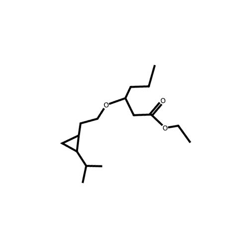 CCCC(CC(=O)OCC)OCCC1CC1C(C)C